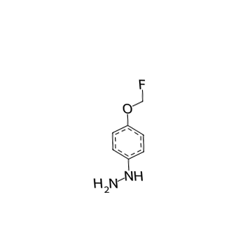 NNc1ccc(OCF)cc1